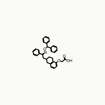 O=C(O)COc1cccc2c1CCC(CC(=NOC(c1ccccc1)c1ccccc1)c1ccccc1)C2